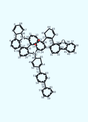 C1=CC2c3ccccc3N(c3ccccc3-c3ccccc3N(c3ccc(C4=C(c5cccc6c5oc5ccccc56)C=CCC4)cc3)C3C=CC(c4ccc(-c5ccccc5)cc4)=CC3)C2C=C1